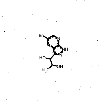 CC(O)C(O)c1n[nH]c2ncc(Br)cc12